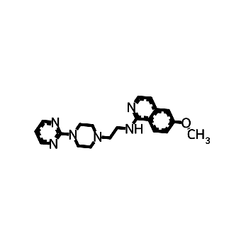 COc1ccc2c(NCCN3CCN(c4ncccn4)CC3)nccc2c1